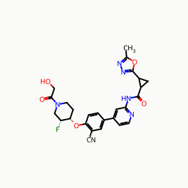 Cc1nnc(C2CC2C(=O)Nc2cc(-c3ccc(O[C@H]4CCN(C(=O)CO)C[C@H]4F)c(C#N)c3)ccn2)o1